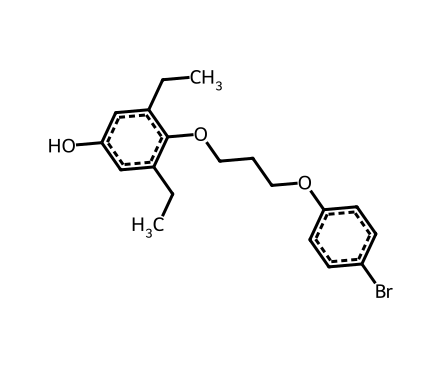 CCc1cc(O)cc(CC)c1OCCCOc1ccc(Br)cc1